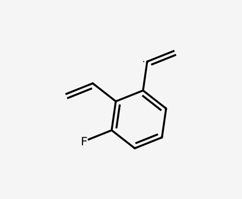 C=[C]c1cccc(F)c1C=C